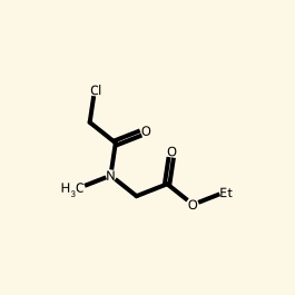 CCOC(=O)CN(C)C(=O)CCl